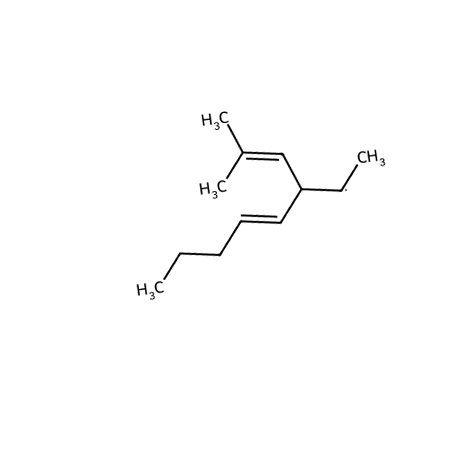 C[CH]C(C=CCCC)C=C(C)C